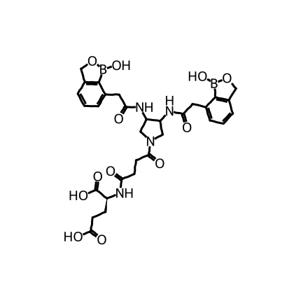 O=C(O)CC[C@H](NC(=O)CCC(=O)N1CC(NC(=O)Cc2cccc3c2B(O)OC3)C(NC(=O)Cc2cccc3c2B(O)OC3)C1)C(=O)O